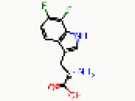 N[C@@H](Cc1c[nH]c2c(F)c(F)ccc12)C(=O)O